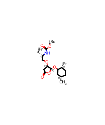 CC(C)C[C@@H](CO[C@@H]1CC(=O)O[C@H]1OC1C[C@H](C)CC[C@H]1C(C)C)NC(=O)OC(C)(C)C